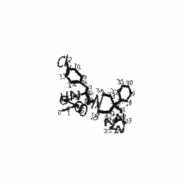 CCS(=O)(=O)NC(Cc1ccc(Cl)cc1)C(=O)N1CCC(Cn2cncn2)(C2CCCCC2)CC1